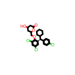 O=C1CC(O)CC(COc2c(Cl)cc(Cl)cc2[C@H](c2ccc(Cl)cc2)C2CCCCC2)O1